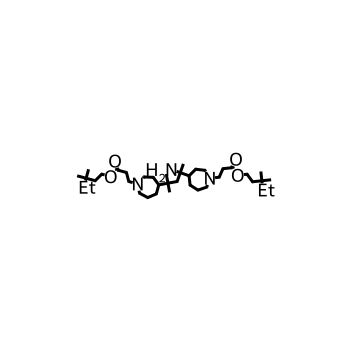 CCC(C)(C)CCOC(=O)CCN1CCCC(C(C)(C)CC(C)(N)C2CCCN(CCC(=O)OCCC(C)(C)CC)CC2)CC1